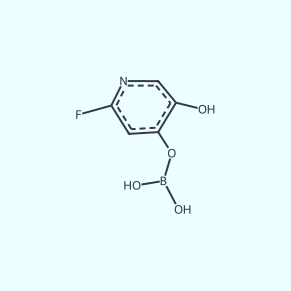 OB(O)Oc1cc(F)ncc1O